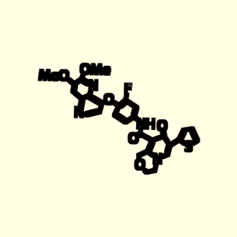 COc1cc2nccc(Oc3ccc(NC(=O)c4c5n(cc(-c6cccs6)c4=O)CCOC5)cc3F)c2nc1OC